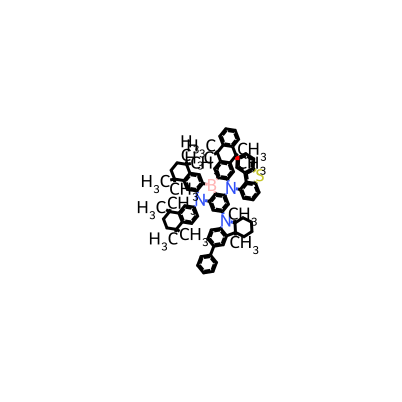 CC1(C)CCC(C)(C)c2cc(N3c4cc5c(cc4B4c6cc7c(cc6N(c6cccc8sc9ccccc9c68)c6cc(N8c9ccc(-c%10ccccc%10)cc9C9(C)CCCCC89C)cc3c64)C(C)(C)c3ccccc3C7(C)C)C(C)(C)CCC5(C)C)ccc21